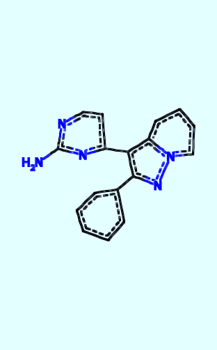 Nc1nccc(-c2c(-c3ccccc3)nn3ccccc23)n1